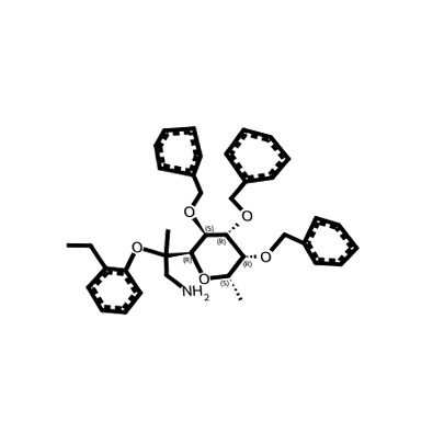 CCc1ccccc1OC(C)(CN)[C@@H]1O[C@@H](C)[C@@H](OCc2ccccc2)[C@@H](OCc2ccccc2)[C@@H]1OCc1ccccc1